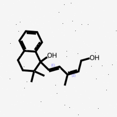 CC(=C/CO)/C=C/C1(O)c2ccccc2CCC1(C)C